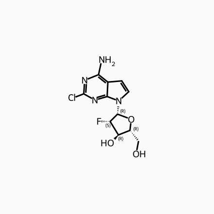 Nc1nc(Cl)nc2c1ccn2[C@@H]1O[C@H](CO)[C@@H](O)[C@@H]1F